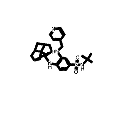 CC(C)(C)NS(=O)(=O)c1ccc(NC2C3CC4CC5CC2CC45C3)c(NCc2ccncc2)c1